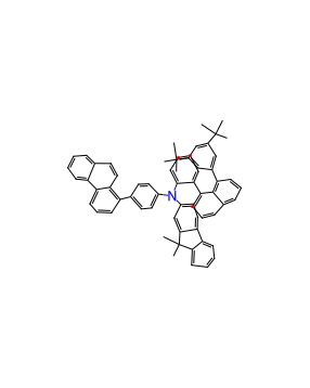 CC(C)(C)c1cc(-c2cccc3cccc(-c4ccccc4N(c4ccc(-c5cccc6c5ccc5ccccc56)cc4)c4ccc5c(c4)C(C)(C)c4ccccc4-5)c23)cc(C(C)(C)C)c1